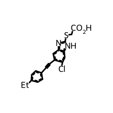 CCc1ccc(C#Cc2cc3nc(SCC(=O)O)[nH]c3cc2Cl)cc1